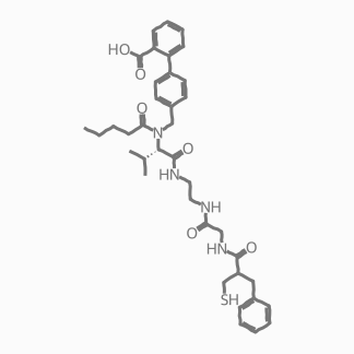 CCCCC(=O)N(Cc1ccc(-c2ccccc2C(=O)O)cc1)[C@H](C(=O)NCCNC(=O)CNC(=O)C(CS)Cc1ccccc1)C(C)C